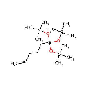 C=[C]CCC[Si](O[Si](C)(C)C)(O[Si](C)(C)C)O[Si](C)(C)C